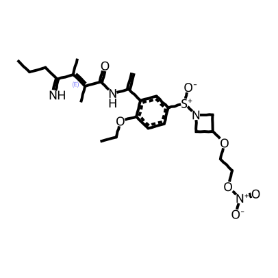 C=C(NC(=O)/C(C)=C(\C)C(=N)CCC)c1cc([S+]([O-])N2CC(OCCO[N+](=O)[O-])C2)ccc1OCC